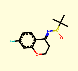 CC(C)(C)[S@+]([O-])N=C1CCOc2cc(F)ccc21